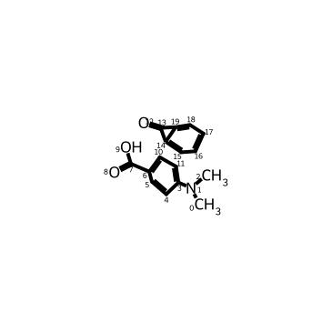 CN(C)c1ccc(C(=O)O)cc1.O=c1c2ccccc12